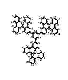 c1ccc2c(c1)B1c3ccc(-c4cc(-c5ccc6c(c5)-c5ccccc5N5B6c6ccccc6-c6ccccc65)nc(-c5ccc6c(c5)-c5ccccc5N5B6c6ccccc6-c6ccccc65)c4)cc3-c3ccccc3N1c1ccccc1-2